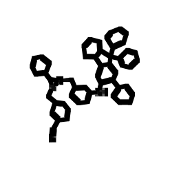 N#Cc1cccc(CN2C(c3ccccc3)[N@@]2Cc2cccc(Nc3cc4c(cc3-c3ccccc3)C(c3ccccc3)(c3ccccc3)c3ccccc3-4)c2)c1